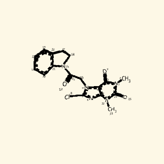 Cn1c(=O)c2c(nc(Cl)n2CC(=O)N2CCc3ccccc32)n(C)c1=O